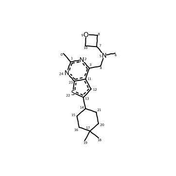 Cc1nc(CN(C)C2COC2)c2cc(C3CCC(C)(C)CC3)sc2n1